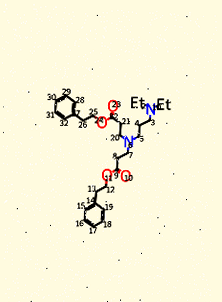 CCN(CC)CCCN(CCC(=O)OCCc1ccccc1)CCC(=O)OCCc1ccccc1